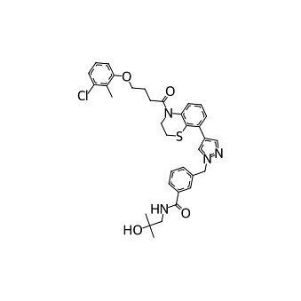 Cc1c(Cl)cccc1OCCCC(=O)N1CCSc2c(-c3cnn(Cc4cccc(C(=O)NCC(C)(C)O)c4)c3)cccc21